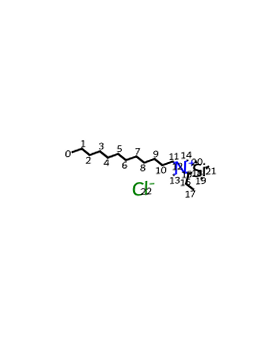 CCCCCCCCCCCC[N+](C)(C)C(CC)[Si](C)(C)C.[Cl-]